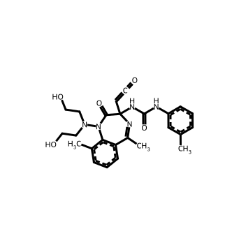 CC1=NC(C=C=O)(NC(=O)Nc2cccc(C)c2)C(=O)N(N(CCO)CCO)c2c(C)cccc21